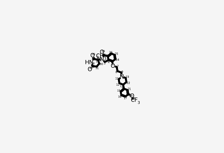 C[C@]1(N2Cc3c(OCCCN4CCC(c5cccc(OC(F)(F)F)c5)CC4)cccc3C2=O)CCC(=O)NC1=O